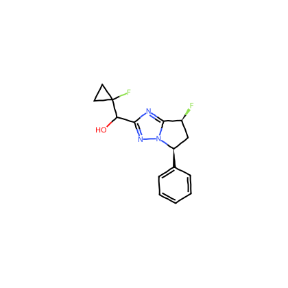 OC(c1nc2n(n1)[C@H](c1ccccc1)C[C@@H]2F)C1(F)CC1